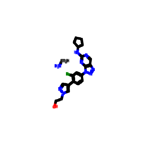 NC(=O)O.OCCn1cc(-c2ccc(-n3nnc4cnc(NC5CCCC5)nc43)cc2F)cn1